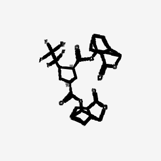 O=C1OC2C3CC(CC13)C2OC(=O)[C@H]1CC(C(F)(F)C(F)(F)Br)[C@@H](C(=O)OC2C3CC4C(=O)OC2C4C3)C1